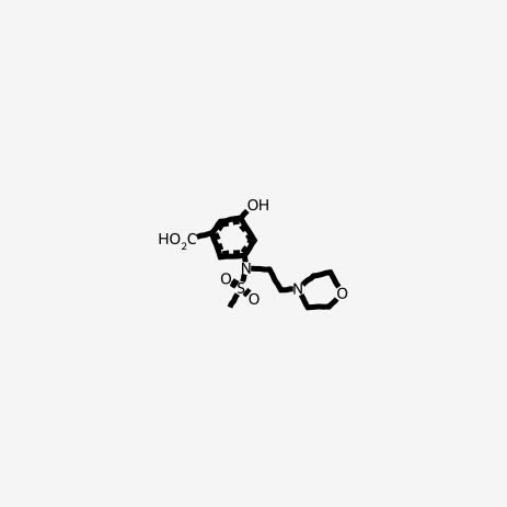 CS(=O)(=O)N(CCN1CCOCC1)c1cc(O)cc(C(=O)O)c1